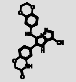 N#Cc1cnn2c(Nc3ccc4c(c3)OCCO4)c(-c3ccc4c(c3)NC(=O)CO4)[nH]c12